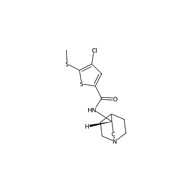 CSc1sc(C(=O)N[C@H]2CN3CCC2CC3)cc1Cl